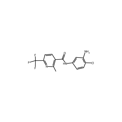 Cc1nc(C(F)(F)F)ccc1C(=O)Nc1ccc(Cl)c(N)c1